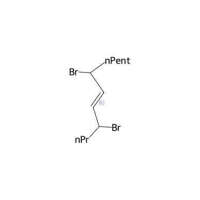 CCCCCC(Br)/C=C/C(Br)CCC